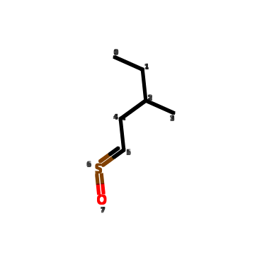 CCC(C)[CH]C=S=O